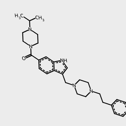 CC(C)N1CCN(C(=O)c2ccc3c(CN4CCN(CCc5ccccc5)CC4)c[nH]c3c2)CC1